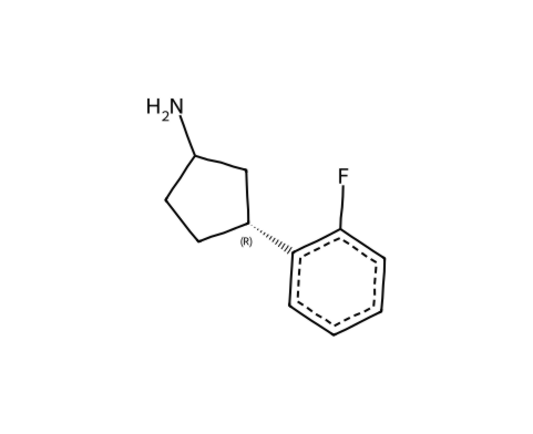 NC1CC[C@@H](c2ccccc2F)C1